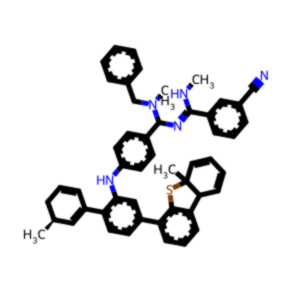 CN/C(=N\C(c1ccc(Nc2cc(-c3cccc4c3SC3(C)C=CC=CC43)ccc2C2=C[C@@H](C)CC=C2)cc1)N(C)Cc1ccccc1)c1cccc(C#N)c1